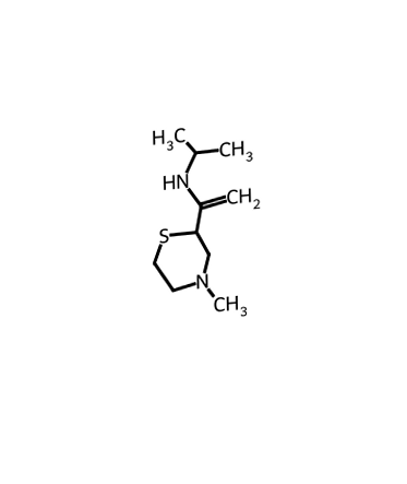 C=C(NC(C)C)C1CN(C)CCS1